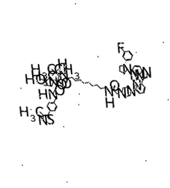 Cc1ncsc1-c1ccc(CNC(=O)[C@@H]2C[C@@H](O)CN2C(=O)[C@@H](NC(=O)CCCCCCCCCNC(=O)CN2CCN(c3cccc(-c4cnc5ccc(N6CCC[C@@H]6c6cccc(F)c6)nn45)n3)CC2)C(C)(C)C)cc1